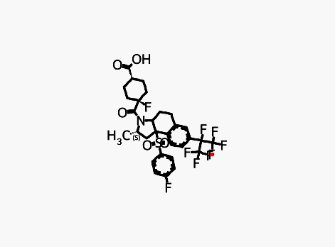 C[C@H]1CC2(S(=O)(=O)c3ccc(F)cc3)c3ccc(C(F)(C(F)(F)F)C(F)(F)F)cc3CCC2N1C(=O)[C@]1(F)CC[C@@H](C(=O)O)CC1